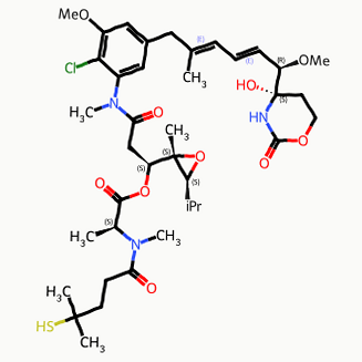 COc1cc(C/C(C)=C/C=C/[C@@H](OC)[C@@]2(O)CCOC(=O)N2)cc(N(C)C(=O)C[C@H](OC(=O)[C@H](C)N(C)C(=O)CCC(C)(C)S)[C@]2(C)O[C@H]2C(C)C)c1Cl